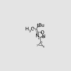 C[C@H](c1nc(C2CC2)no1)C(C)(C)C